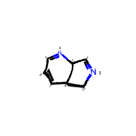 [CH]1N=CC2N=CC=CC12